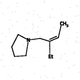 C/C=C(/CC)CN1CCCC1